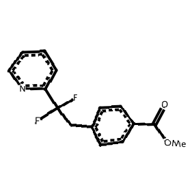 COC(=O)c1ccc(CC(F)(F)c2ccccn2)cc1